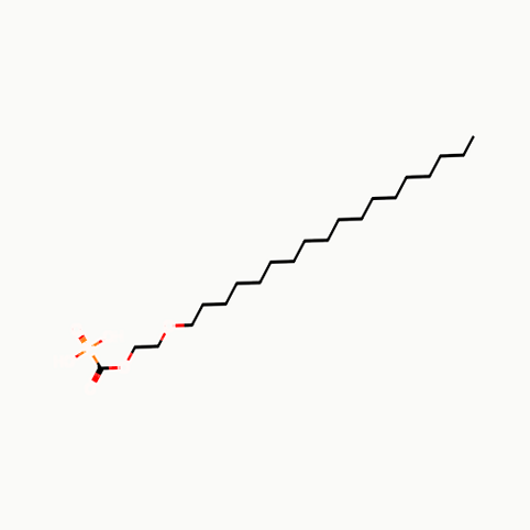 CCCCCCCCCCCCCCCCCCOCCOC(=O)P(=O)(O)O